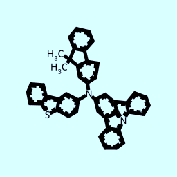 CC1(C)c2ccccc2-c2ccc(N(c3ccc4sc5ccccc5c4c3)c3cc4c5ccccc5n5c6ccccc6c(c3)c45)cc21